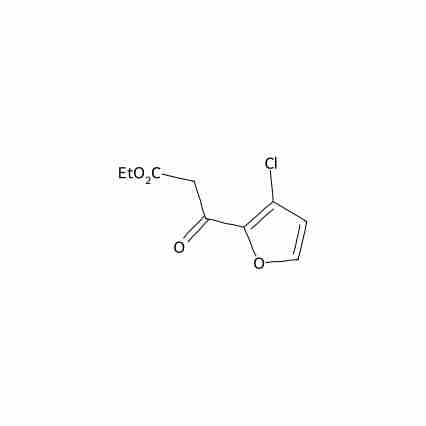 CCOC(=O)CC(=O)c1occc1Cl